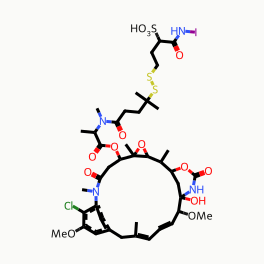 COc1cc2cc(c1Cl)N(C)C(=O)CC(OC(=O)C(C)N(C)C(=O)CCC(C)(C)SSCCC(C(=O)NI)S(=O)(=O)O)C1(C)OC1C(C)C1CC(O)(NC(=O)O1)C(OC)/C=C/C=C(\C)C2